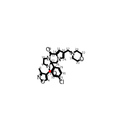 Cc1nocc1C(=O)N1CCN2C(=O)c3cc(CN4CCOCC4)cn3CC12c1ccc(Cl)cc1